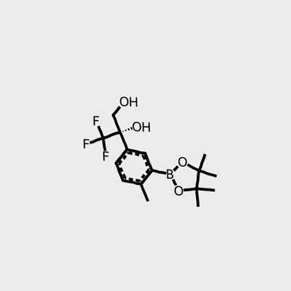 Cc1ccc([C@](O)(CO)C(F)(F)F)cc1B1OC(C)(C)C(C)(C)O1